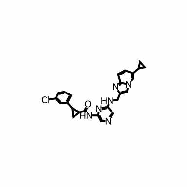 O=C(Nc1cncc(NCc2cn3cc(C4CC4)ccc3n2)n1)C1CC1c1cccc(Cl)c1